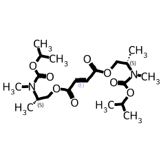 CC(C)OC(=O)N(C)[C@@H](C)COC(=O)/C=C/C(=O)OC[C@H](C)N(C)C(=O)OC(C)C